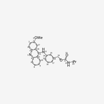 COc1ccc2nc3ccccc3c(Nc3cccc(COC(=O)NC(C)C)c3)c2c1